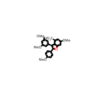 COc1ccc(-c2oc3cc(OC)cc(C(=O)O)c3c2-c2cc(OC)cc(OC)c2)cc1